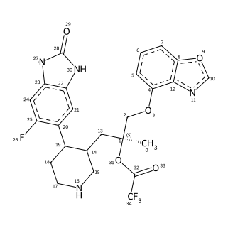 C[C@@](COc1cccc2ocnc12)(CC1CNCCC1c1cc2c(cc1F)[N]C(=O)N2)OC(=O)C(F)(F)F